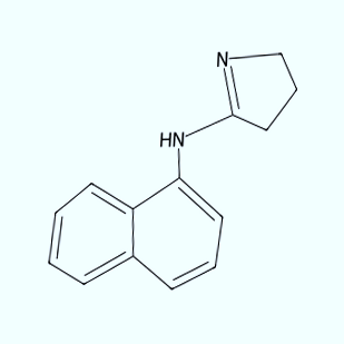 c1ccc2c(NC3=NCCC3)cccc2c1